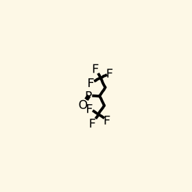 O=PC(CC(F)(F)F)CC(F)(F)F